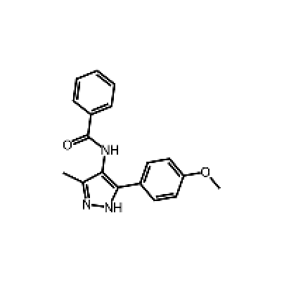 COc1ccc(-c2[nH]nc(C)c2NC(=O)c2ccccc2)cc1